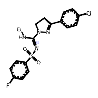 CCN/C(=N\S(=O)(=O)c1ccc(F)cc1)N1CCC(c2ccc(Cl)cc2)=N1